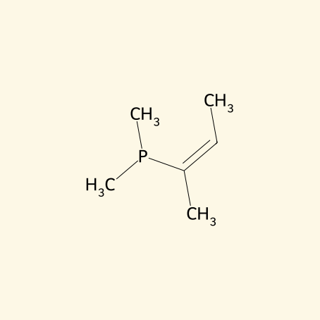 CC=C(C)P(C)C